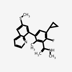 C=C(NC)c1c(C)c(-c2cc(SC)cc3cccnc23)cc(C2CC2)c1F